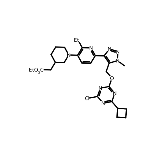 CCOC(=O)CC1CCCN(c2ccc(-c3nnn(C)c3COc3nc(Cl)nc(C4CCC4)n3)nc2CC)C1